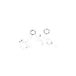 O=C(O)N[C@H](C(=O)Nc1cccc(F)c1CC[C@H]1CN[C@@H]2CCCS(=O)(=O)N1C2)[C@@H](c1ccc(F)cc1)[C@H]1CC[C@H](O)CC1